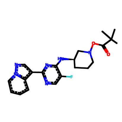 CC(C)(C)C(=O)ON1CCC[C@@H](Nc2nc(-c3cnn4ccccc34)ncc2F)C1